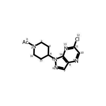 CC(=O)N1CCC(n2ncc3ncc(Cl)nc32)CC1